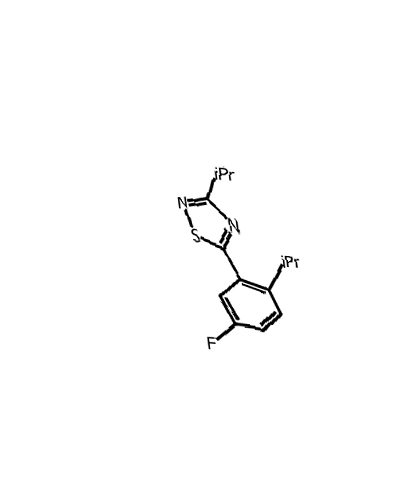 CC(C)c1nsc(-c2cc(F)ccc2C(C)C)n1